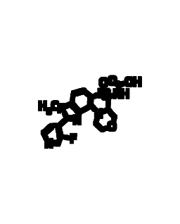 Cn1c(-c2ccncc2F)nc2c(N3CCOCC3CNC(=O)O)c([N+](=O)[O-])ccc21